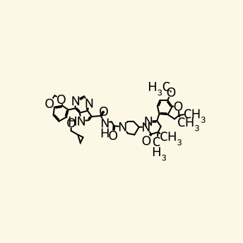 COc1ccc(C2=NN(C3CCN(C(=O)CNC(=O)c4c[nH]c5c(-c6c(OCC7CC7)ccc7c6OCO7)ncnc45)CC3)C(=O)C(C)(C)C2)c2c1OC(C)(C)C2